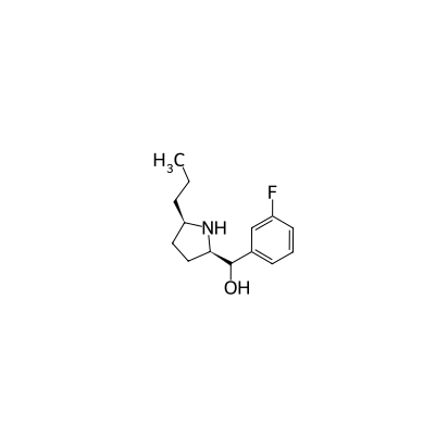 CCC[C@@H]1CC[C@H](C(O)c2cccc(F)c2)N1